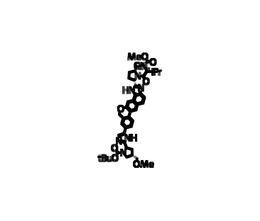 COC[C@H]1CC(c2ncc(-c3ccc4c(c3)COc3cc5c(ccc6nc([C@@H]7CC[C@H](C)N7C(=O)C(NC(=O)OC)C(C)C)[nH]c65)cc3-4)[nH]2)N(C(=O)OC(C)(C)C)C1